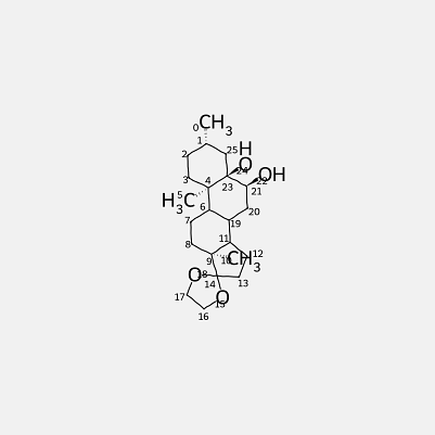 C[C@H]1CC[C@]2(C)C3CC[C@@]4(C)C(CCC45OCCO5)C3C[C@H](O)[C@@]2(O)C1